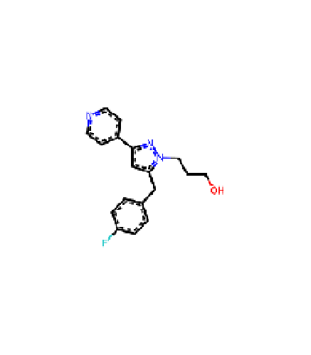 OCCCn1nc(-c2ccncc2)cc1Cc1ccc(F)cc1